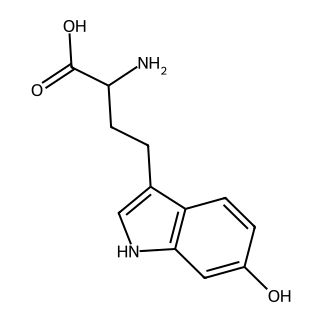 NC(CCc1c[nH]c2cc(O)ccc12)C(=O)O